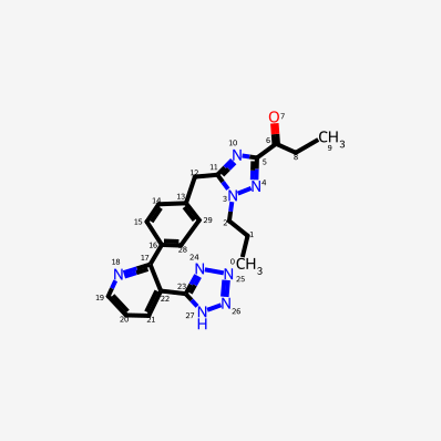 CCCn1nc(C(=O)CC)nc1Cc1ccc(-c2ncccc2-c2nnn[nH]2)cc1